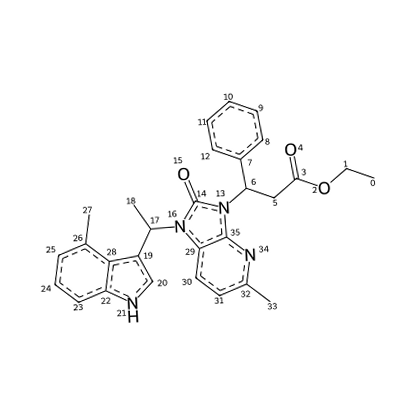 CCOC(=O)CC(c1ccccc1)n1c(=O)n(C(C)c2c[nH]c3cccc(C)c23)c2ccc(C)nc21